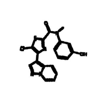 CN(C(=O)c1nc(-c2cnn3ccccc23)c(Cl)s1)c1cccc(O)c1